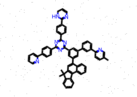 Cc1ccc(-c2cccc(-c3cc(-c4nc(-c5ccc(C6=NC=CCN6)cc5)nc(-c5ccc(-c6ccccn6)cc5)n4)cc(-c4cc5c(c6ccccc46)-c4ccccc4C5(C)C)c3)c2)nc1